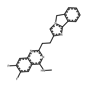 CNc1nc(CCc2cn3c(n2)-c2ccccc2C3)nc2cc(F)c(F)cc12